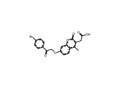 Cc1c(CC(=O)O)c(=O)oc2cc(OCC(=O)c3ccc(Br)cc3)ccc12